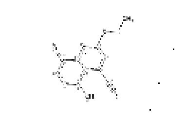 CCSc1cc(C#N)c2c(c1)c(=O)ccn2C